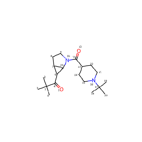 CC(C)(C)C(=O)C1C2CCN(C(=O)C3CCN(C(C)(C)C)CC3)C21